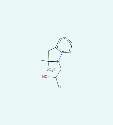 CCC(O)CN1c2ccccc2CC1(C)S(=O)(=O)O